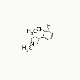 C[C@H]1CN(C)C[C@@H]1c1cccc(F)c1Cl